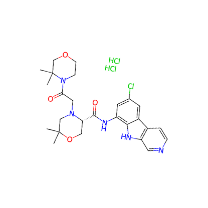 CC1(C)CN(CC(=O)N2CCOCC2(C)C)[C@H](C(=O)Nc2cc(Cl)cc3c2[nH]c2cnccc23)CO1.Cl.Cl